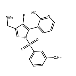 CNCc1cn(S(=O)(=O)c2cccc(OC)c2)c(-c2cccnc2C#N)c1F